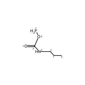 CCCNC(=O)OP